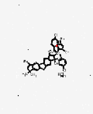 CC1C=C(C(C)(C)C)C=[C]1[Zr](=[CH]c1ccc(Cl)cc1)(=[CH]c1ccc(Cl)cc1)[C]1=C(C(C)(C)C)c2cc3c(cc2C1(C)C)Cc1cc2c(cc1-3)C(C(C)(C)C)=CC2(C)C.Cl.Cl